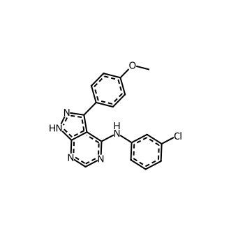 COc1ccc(-c2n[nH]c3ncnc(Nc4cccc(Cl)c4)c23)cc1